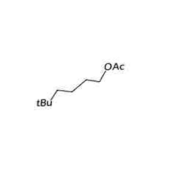 CC(=O)OCCCCC(C)(C)C